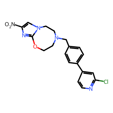 O=[N+]([O-])c1cn2c(n1)OCCN(Cc1ccc(-c3ccnc(Cl)c3)cc1)CC2